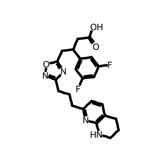 O=C(O)CC(Cc1nc(CCCc2ccc3c(n2)NCCC3)no1)c1cc(F)cc(F)c1